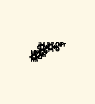 CC(C)OC(=O)N1CCC(N2CCOc3c(Nc4ccncc4Cl)ncnc32)CC1